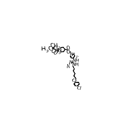 CC(C)(C)OC(=O)N1CCC(C(=O)OC[n+]2ccc(NC(=NC#N)NCCCCCCOc3ccc(Cl)cc3)cc2)CC1.[I-]